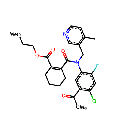 COCCOC(=O)C1=C(C(=O)N(Cc2cnccc2C)c2cc(C(=O)OC)c(Cl)cc2F)CCCC1